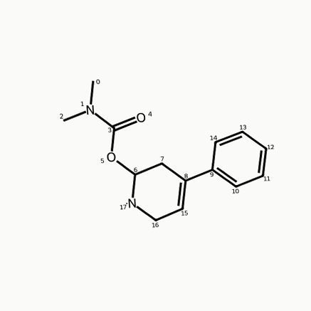 CN(C)C(=O)OC1CC(c2ccccc2)=CC[N]1